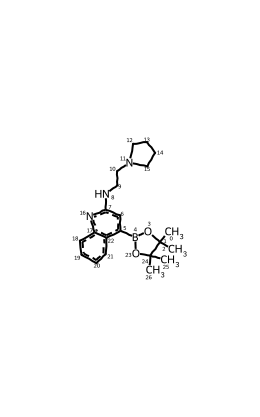 CC1(C)OB(c2cc(NCCN3CCCC3)nc3ccccc23)OC1(C)C